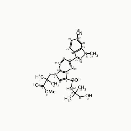 COC(=O)C(C)(C)Cn1cc(C(=O)NC(C)(C)CO)c2nc(-c3nn(C)c4cc(C#N)ccc34)cnc21